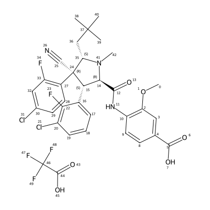 COc1cc(C(=O)O)ccc1NC(=O)[C@H]1[C@H](c2cccc(Cl)c2F)[C@@](C#N)(c2ccc(Cl)cc2F)[C@H](CC(C)(C)C)N1C.O=C(O)C(F)(F)F